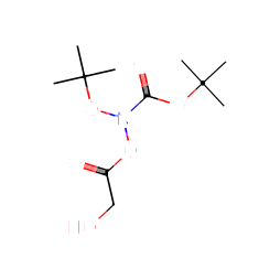 CC(C)(C)OC(=O)N(OC(=O)CO)OC(C)(C)C